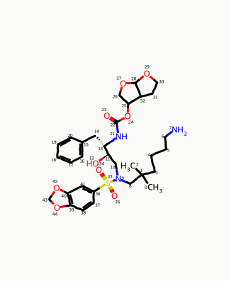 CC(C)(CCCCN)CN(C[C@@H](O)[C@H](Cc1ccccc1)NC(=O)OC1COC2OCCC12)S(=O)(=O)c1ccc2c(c1)OCO2